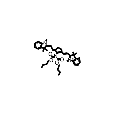 CCCCOC(=O)N(C(=O)OCCCC)C1=C(/C=C/C2=[N+](C)c3ccccc3C2(C)C)CC/C1=C\C=C1\N(C)c2ccccc2C1(C)C